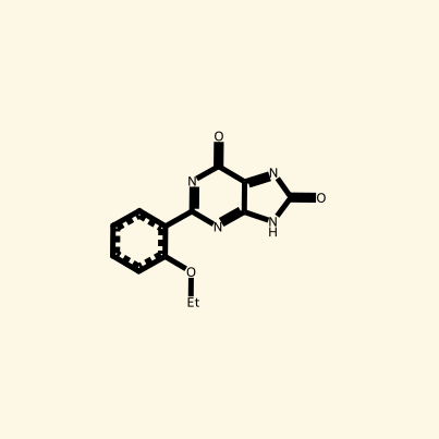 CCOc1ccccc1C1=NC(=O)C2=NC(=O)NC2=N1